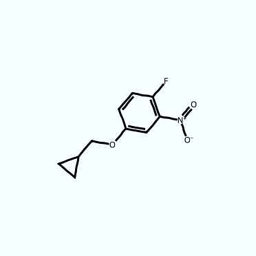 O=[N+]([O-])c1cc(OCC2CC2)ccc1F